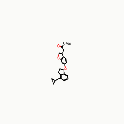 COC(=O)C[C@@H]1COc2cc(O[C@@H]3CCc4c(C5CC5)cccc43)ccc21